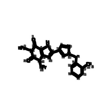 CCCn1c(=O)c2[nH]c(-c3cnn(Cc4ccccc4C(F)(F)F)c3)nc2n(CCC)c1=O